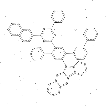 c1ccc(-c2cccc(-c3cc(-c4nc(-c5ccccc5)nc(-c5ccc6ccccc6c5)n4)c(-c4ccccc4)cc3-n3c4ccccc4c4cc5ccccc5cc43)c2)cc1